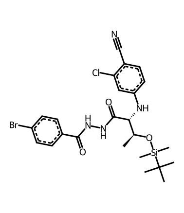 C[C@H](O[Si](C)(C)C(C)(C)C)[C@@H](Nc1ccc(C#N)c(Cl)c1)C(=O)NNC(=O)c1ccc(Br)cc1